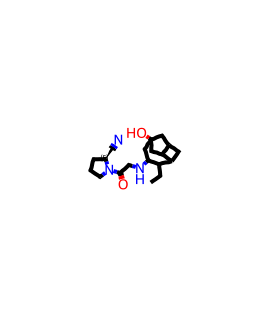 CCC1C(NCC(=O)N2CCC[C@H]2C#N)CC2(O)CC3CC1C3C2